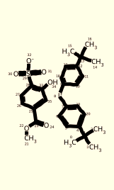 CC(C)(C)c1ccc([I+]c2ccc(C(C)(C)C)cc2)cc1.COC(=O)c1ccc(S(=O)(=O)[O-])c(O)c1